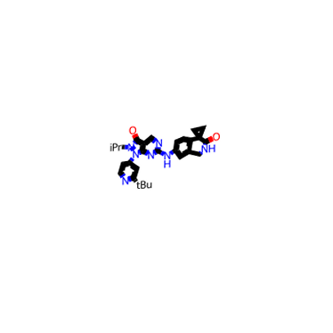 CC(C)n1c(=O)c2cnc(Nc3ccc4c(c3)CNC(=O)C43CC3)nc2n1-c1ccnc(C(C)(C)C)c1